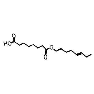 CCC=CCCCCOC(=O)CCCCCCC(=O)O